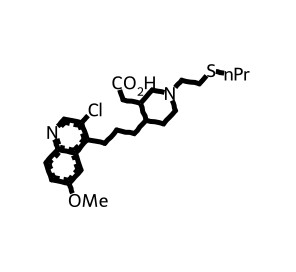 CCCSCCN1CCC(CCCc2c(Cl)cnc3ccc(OC)cc23)C(CC(=O)O)C1